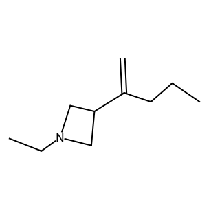 C=C(CCC)C1CN(CC)C1